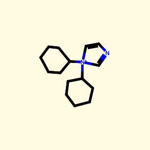 C1=C[N+](C2CCCCC2)(C2CCCCC2)C=N1